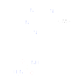 COc1cc2c(N3CC(CCNS(N)(=O)=O)C3)ncnc2cn1